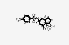 C[C@]1(NS(=O)(=O)c2ccc(C(F)(F)F)cn2)C=C(C(=O)O)[C@@]2(O)[C@H](CC[C@H]2O)C1